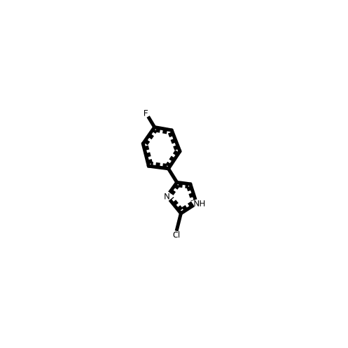 Fc1ccc(-c2c[nH]c(Cl)n2)cc1